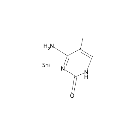 Cc1c[nH]c(=O)nc1N.[Sn]